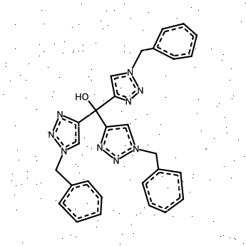 OC(c1cn(Cc2ccccc2)nn1)(c1cn(Cc2ccccc2)nn1)c1cn(Cc2ccccc2)nn1